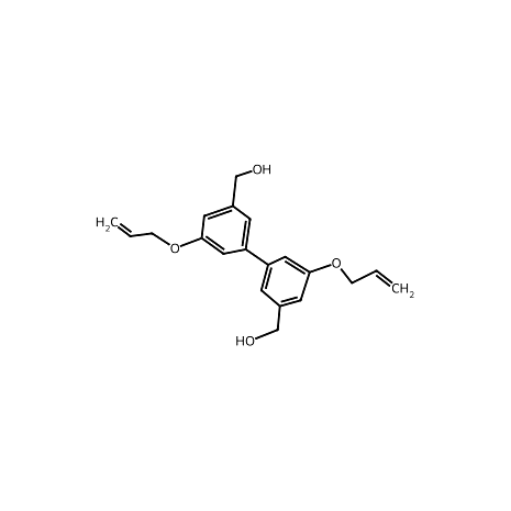 C=CCOc1cc(CO)cc(-c2cc(CO)cc(OCC=C)c2)c1